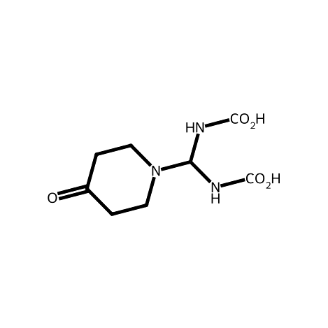 O=C1CCN(C(NC(=O)O)NC(=O)O)CC1